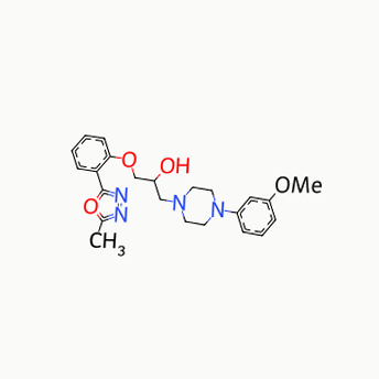 COc1cccc(N2CCN(CC(O)COc3ccccc3-c3nnc(C)o3)CC2)c1